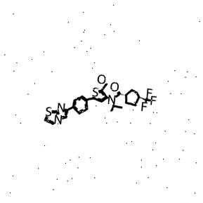 CC(C)N(c1cc(-c2ccc(-c3cn4ccsc4n3)cc2)sc1C=O)C(=O)[C@H]1CC[C@H](C(F)(F)F)CC1